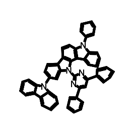 c1ccc(-c2cc(-c3ccccc3)nc(-n3c4cc(-n5c6ccccc6c6ccccc65)ccc4c4ccc5c(c6ccccc6n5-c5ccccc5)c43)n2)cc1